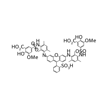 COc1cc(S(=O)(=O)Nc2c(C)cc(C)c(/N=c3/ccc4c(-c5ccccc5S(=O)(=O)O)c5ccc(Nc6c(C)cc(C)c(NS(=O)(=O)c7cc(OC)c(O)c(C(=O)O)c7)c6C)cc5oc-4c3)c2C)cc(C(=O)O)c1O